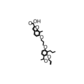 C=CCOc1c(C(C)=O)ccc(OCCCOc2ccc3cc(C(=O)O)oc3c2C)c1CCC